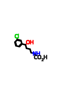 O=C(O)NCCCC(O)c1cccc(Cl)c1